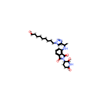 CC(Nc1cccc2c1C(=O)N(C1CCC(=O)NC1=O)C2=O)c1cn(CCCCCCCCC=O)nn1